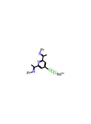 CC(=NC(C)C)c1cc(C)cc(C(C)=NC(C)C)n1.[Cl-].[Cl-].[Cl-].[Nd+3]